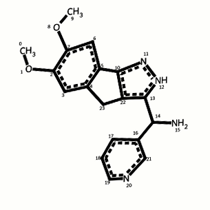 COc1cc2c(cc1OC)-c1n[nH]c(C(N)c3cccnc3)c1C2